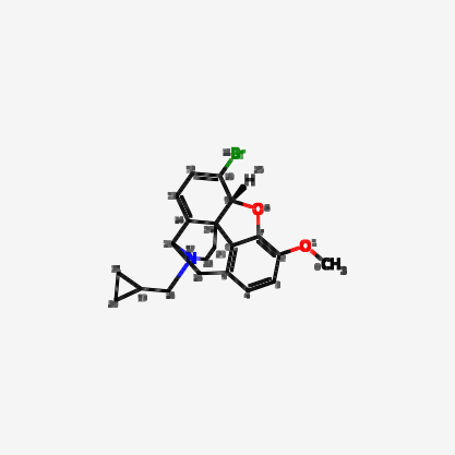 COc1ccc2c3c1O[C@H]1C(Br)=CC=C4C(C2)N(CC2CC2)CCC431